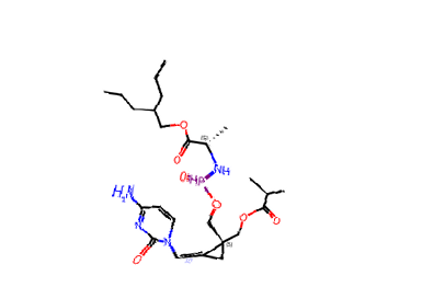 CCCC(CCC)COC(=O)[C@H](C)N[PH](=O)OC[C@@]1(COC(=O)C(C)C)C/C1=C/n1ccc(N)nc1=O